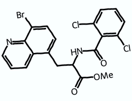 COC(=O)C(Cc1ccc(Br)c2ncccc12)NC(=O)c1c(Cl)cccc1Cl